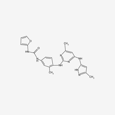 Cc1cc(Nc2cc(C)nc(Nc3ccc(NC(=O)Nc4ccco4)cc3C)n2)[nH]n1